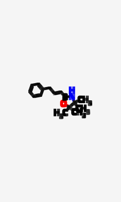 CC1(C)NB(/C=C/Cc2ccccc2)OC1(C)C